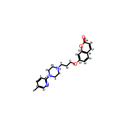 Cc1ccc(N2CCN(CCCOc3ccc4ccc(=O)oc4c3)CC2)nc1